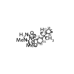 CNC(=S)N(C(N)=O)S(=O)(=O)c1cc(C(C)(C)c2ccsc2)ccc1OC